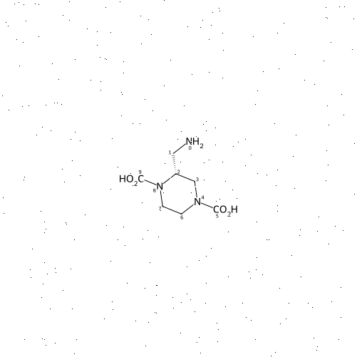 NC[C@@H]1CN(C(=O)O)CCN1C(=O)O